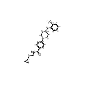 O=C(NCCC1CC1)c1ccc(N2CCN(Cc3ccccc3C(F)(F)F)CC2)nn1